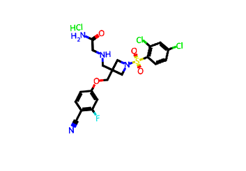 Cl.N#Cc1ccc(OCC2(CNCC(N)=O)CN(S(=O)(=O)c3ccc(Cl)cc3Cl)C2)cc1F